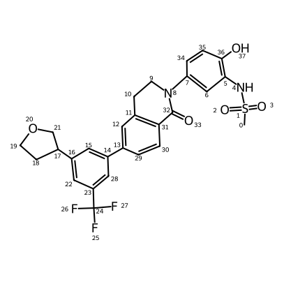 CS(=O)(=O)Nc1cc(N2CCc3cc(-c4cc(C5CCOC5)cc(C(F)(F)F)c4)ccc3C2=O)ccc1O